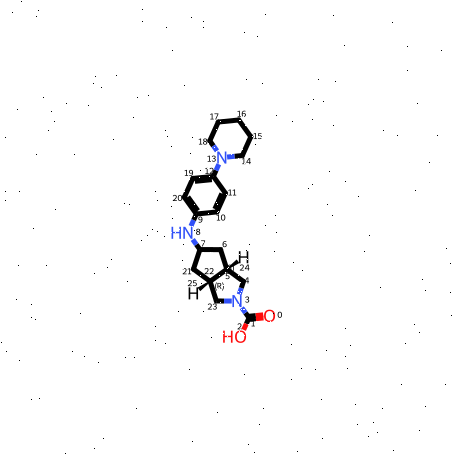 O=C(O)N1C[C@H]2CC(Nc3ccc(N4CCCCC4)cc3)C[C@H]2C1